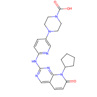 O=C(O)N1CCN(c2ccc(Nc3ncc4ccc(=O)n(C5CCCC5)c4n3)nc2)CC1